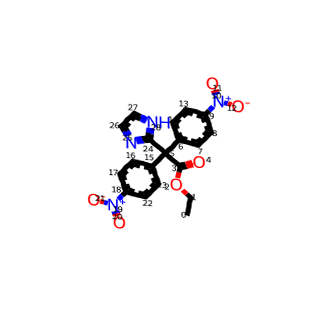 CCOC(=O)C(c1ccc([N+](=O)[O-])cc1)(c1ccc([N+](=O)[O-])cc1)c1ncc[nH]1